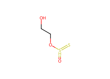 O=[SH](=S)OCCO